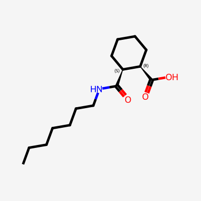 CCCCCCCNC(=O)[C@H]1CCCC[C@H]1C(=O)O